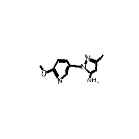 COc1ccc(-n2nc(C)cc2N)cn1